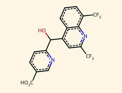 O=C(O)c1ccc(C(O)c2cc(C(F)(F)F)nc3c(C(F)(F)F)cccc23)nc1